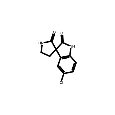 O=C1NCCC12C(=O)Nc1ccc(Cl)cc12